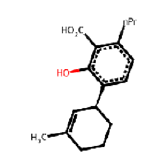 CCCc1ccc([C@@H]2C=C(C)CCC2)c(O)c1C(=O)O